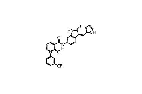 O=C1Nc2cc(NC(=O)c3cccn(-c4cccc(C(F)(F)F)c4)c3=O)ccc2/C1=C/c1ccc[nH]1